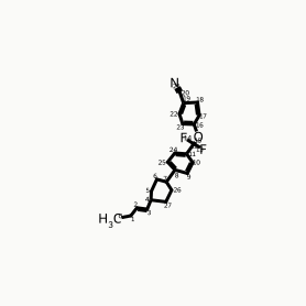 CC/C=C/C1CCC(c2ccc(C(F)(F)Oc3ccc(C#N)cc3)cc2)CC1